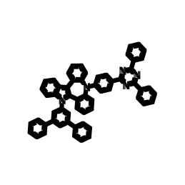 c1ccc(-c2cc(-c3ccccc3)cc(-n3c4c(c5ccccc53)-c3ccccc3N(c3ccc(-c5nc(-c6ccccc6)nc(-c6ccccc6)n5)cc3)c3ccccc3-4)c2)cc1